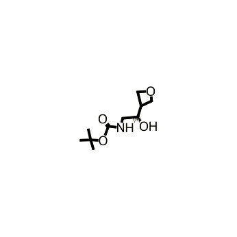 CC(C)(C)OC(=O)NC[C@H](O)C1COC1